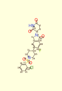 O=C1CCC(N2Cc3cc(C4CCN(S(=O)(=O)c5ccccc5Cl)CC4)c(F)cc3C2=O)C(=O)N1